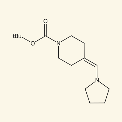 CC(C)(C)OC(=O)N1CCC(=CN2CCCC2)CC1